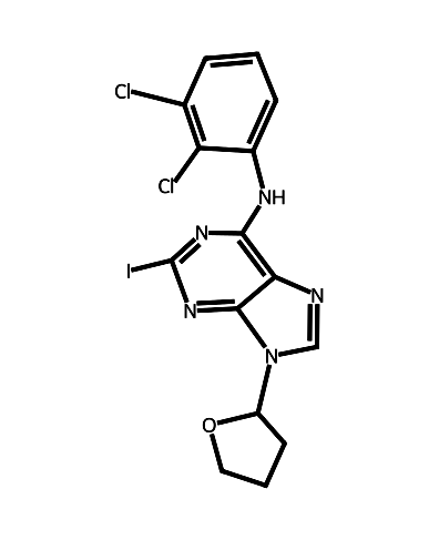 Clc1cccc(Nc2nc(I)nc3c2ncn3C2CCCO2)c1Cl